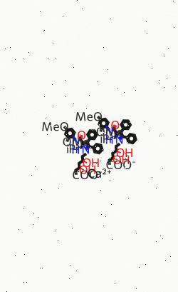 COc1ccc(NC(=O)c2c(-c3ccccc3)c(-c3ccccc3)n(CC[C@@H](O)C[C@@H](O)CC(=O)[O-])c2C(C)C)c(OC)c1.COc1ccc(NC(=O)c2c(-c3ccccc3)c(-c3ccccc3)n(CC[C@@H](O)C[C@@H](O)CC(=O)[O-])c2C(C)C)c(OC)c1.[Ca+2]